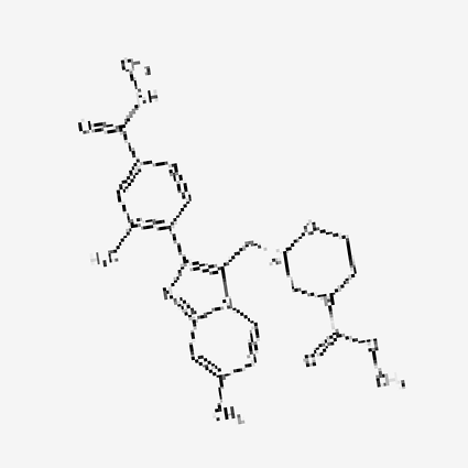 CNC(=O)c1ccc(-c2nc3cc(C)ccn3c2C[C@H]2CN(C(=O)OC)CCO2)c(C)c1